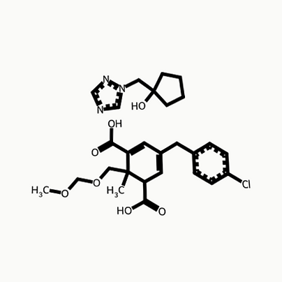 COCOCC1(C)C(C(=O)O)=CC(Cc2ccc(Cl)cc2)=CC1C(=O)O.OC1(Cn2cncn2)CCCC1